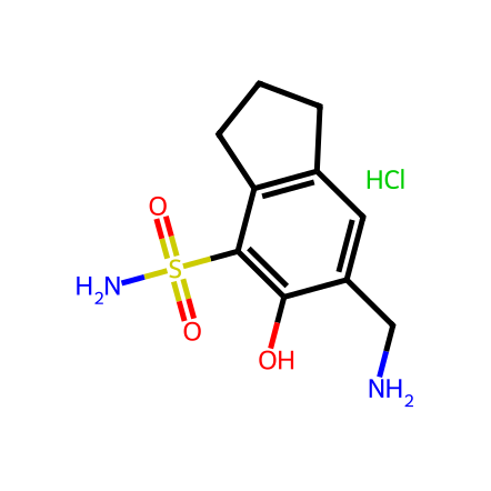 Cl.NCc1cc2c(c(S(N)(=O)=O)c1O)CCC2